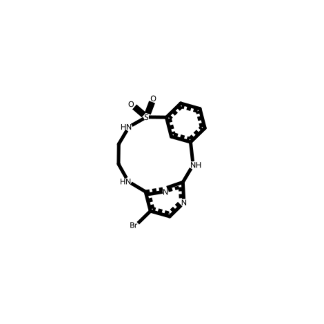 O=S1(=O)NCCNc2nc(ncc2Br)Nc2cccc1c2